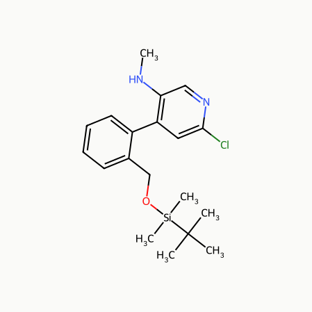 CNc1cnc(Cl)cc1-c1ccccc1CO[Si](C)(C)C(C)(C)C